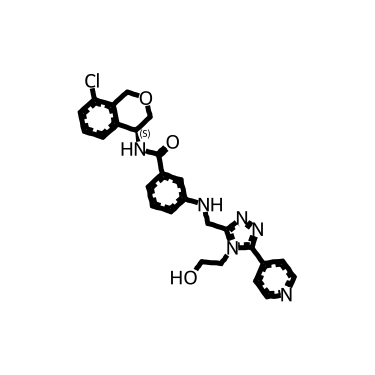 O=C(N[C@@H]1COCc2c(Cl)cccc21)c1cccc(NCc2nnc(-c3ccncc3)n2CCO)c1